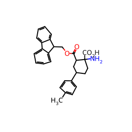 Cc1ccc(C2CCC(N)(C(=O)O)C(C(=O)OCC3c4ccccc4-c4ccccc43)C2)cc1